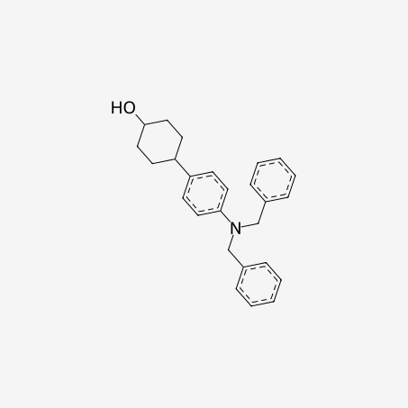 OC1CCC(c2ccc(N(Cc3ccccc3)Cc3ccccc3)cc2)CC1